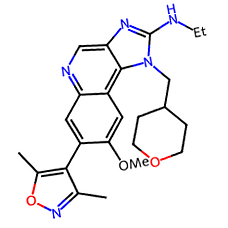 CCNc1nc2cnc3cc(-c4c(C)noc4C)c(OC)cc3c2n1CC1CCOCC1